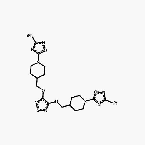 CC(C)c1noc(N2CCC(COc3nsnc3OCC3CCN(c4nc(C(C)C)no4)CC3)CC2)n1